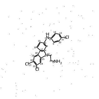 NCCn1c2cc(Nc3ccc(Cl)cc3)ccc2c2cc(Cl)c(Cl)cc21